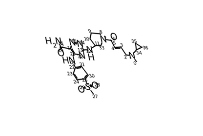 CN(CC=CC(=O)N1CCCC(Nc2nnc(C(N)=O)c(Nc3ccc(S(C)(=O)=O)cc3)n2)C1)C1CC1